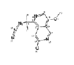 COc1cnc(C(C)(C)N=[N+]=[N-])c2cc(Cl)ncc12